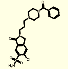 NS(=O)(=O)c1cc2c(cc1Cl)CN(CCCN1CCN(C(=O)c3ccccc3)CC1)C2=O